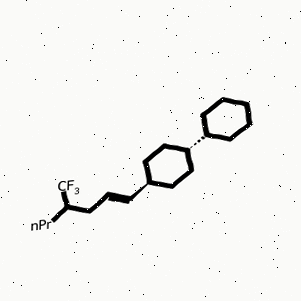 CCCC(CC=C[C@H]1CC[C@H](C2CCCCC2)CC1)C(F)(F)F